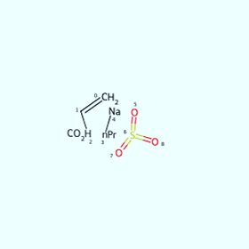 C=CC(=O)O.CC[CH2][Na].O=S(=O)=O